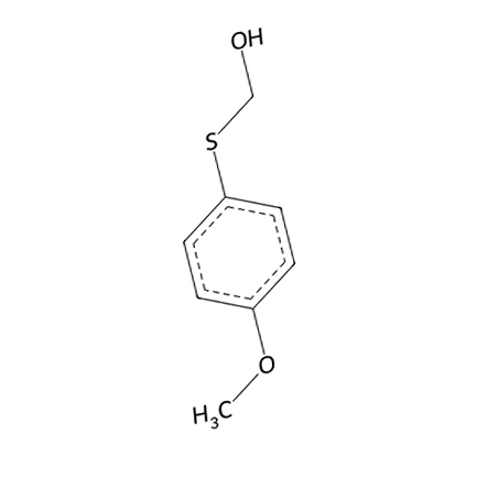 COc1ccc(SCO)cc1